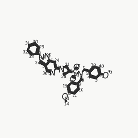 COc1ccc(CN(Cc2ccc(OC)cc2)S(=O)(=O)C2CN(c3cc4nn(-c5ccccc5)cc4cn3)C2)cc1